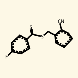 N#Cc1ccccc1CSC(=S)c1ccc(F)cc1